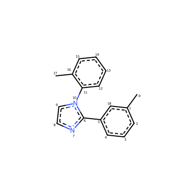 Cc1cccc(-c2nccn2-c2ccccc2C)c1